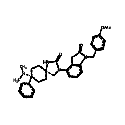 COc1ccc(CN2C(=O)Cc3c2cccc3N2C[C@]3(CC[C@@](c4ccccc4)(N(C)C)CC3)NC2=O)cc1